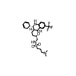 CN(C)CCCS(=O)(=O)NC[C@H]1CC[C@@H]2[C@H](O1)c1cc(C(F)(F)F)ccc1N[C@H]2C1C=CC=CC1